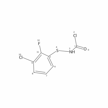 O=C(Cl)NSc1cccc(Cl)c1F